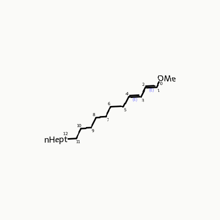 [CH2]O/C=C/C=C/CCCCCCCCCCCCCC